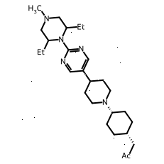 CCC1CN(C)CC(CC)N1c1ncc(C2CCN([C@H]3CC[C@@H](CC(C)=O)CC3)CC2)cn1